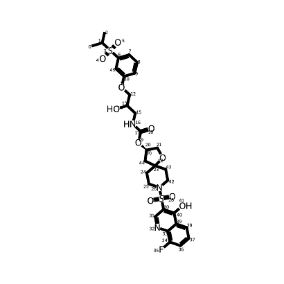 CC(C)S(=O)(=O)c1cccc(OCC(O)CNC(=O)O[C@H]2COC3(CCN(S(=O)(=O)c4cnc5c(F)cccc5c4O)CC3)C2)c1